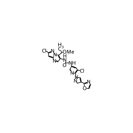 CO[C@@H](C)c1c(NC(=O)Nc2cnc(-n3cc(-c4ncco4)cn3)c(Cl)c2)cnc2cc(Cl)nn12